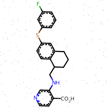 O=C(O)c1ccncc1NCC1CCCc2cc(Sc3cccc(F)c3)ccc21